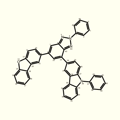 c1ccc(-n2nc3cc(-c4ccc5oc6ccccc6c5c4)cc(-c4ccc5c(c4)c4ccccc4n5-c4ccccc4)c3n2)cc1